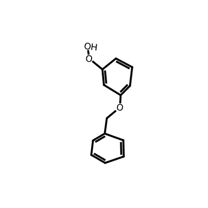 OOc1cccc(OCc2ccccc2)c1